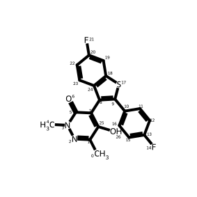 Cc1nn(C)c(=O)c(-c2c(-c3ccc(F)cc3)sc3cc(F)ccc23)c1O